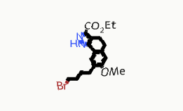 CCOC(=O)c1n[nH]c2c1CCc1cc(OC)c(CCCCBr)cc1-2